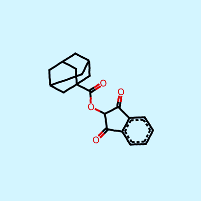 O=C1c2ccccc2C(=O)C1OC(=O)C12CC3CC(CC(C3)C1)C2